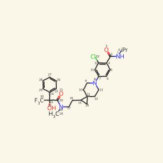 CC(C)NC(=O)c1ccc(N2CCC3(CC2)CC3CCN(C)C(=O)C(O)(c2ccccc2)C(F)(F)F)cc1Cl